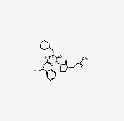 COC(=O)CC[C@H]1CCN(NC(=O)[C@H](CC2CCCCC2)NC(=O)OC(c2ccccc2)C(C)(C)C)C1=O